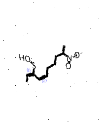 C/C=C(\C=C/CCCC(C)[N+](=O)[O-])SO